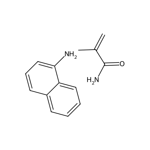 C=C(C)C(N)=O.Nc1cccc2ccccc12